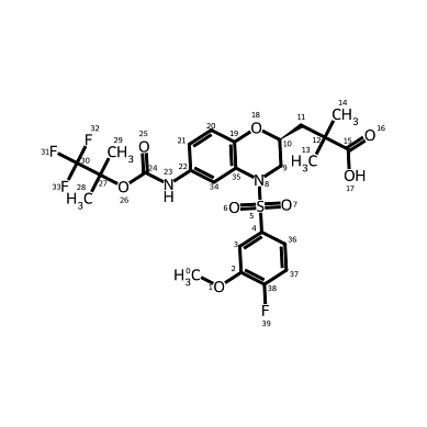 COc1cc(S(=O)(=O)N2C[C@H](CC(C)(C)C(=O)O)Oc3ccc(NC(=O)OC(C)(C)C(F)(F)F)cc32)ccc1F